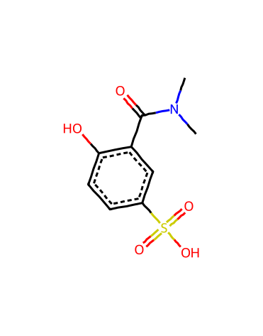 CN(C)C(=O)c1cc(S(=O)(=O)O)ccc1O